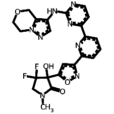 CN1CC(F)(F)C(O)(c2cc(-c3cccc(-c4ccnc(Nc5cnn6c5COCC6)n4)n3)no2)C1=O